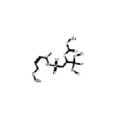 CCCCOC/C=C\[C@@H](C)NS(=O)(=O)CC(OC(=O)OC(C)(C)C)C(CC)(OCC)OCC